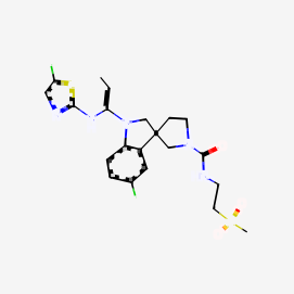 CC=C(Nc1ncc(Cl)s1)N1CC2(CCN(C(=O)NCCS(C)(=O)=O)C2)c2cc(Cl)ccc21